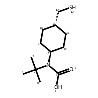 CC(C)(C)N(C(=O)O)[C@H]1CC[C@H](CS)CC1